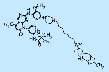 COc1cc(N2CCN(CCCCCCCCNC(=O)CC3(C)CC4CC(C)CC(C4)C3)CC2)ccc1Nc1ncc2c(C)cc(=O)n(-c3cccc(NC(=O)C(C)(C)C)c3)c2n1